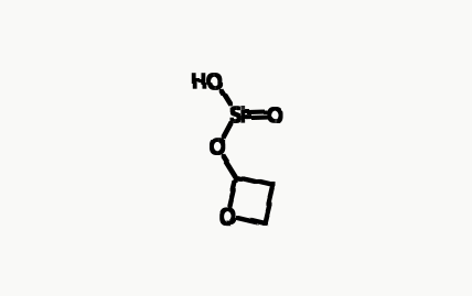 O=[Si](O)OC1CCO1